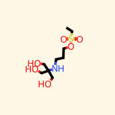 CCS(=O)(=O)OCCCNC(CO)(CO)CO